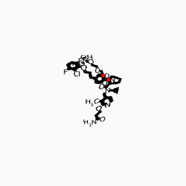 Cc1c(CN(C(=O)C2=C(c3ccc(CCCOc4c(F)ccc(F)c4Cl)cc3)CC3CCC2N3C(=O)OCCOCCON(O)O)C2CC2)ccnc1OCCC(N)=O